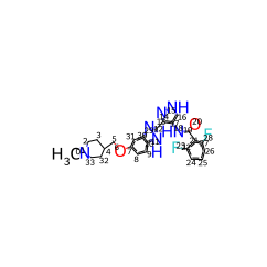 CN1CCC(COc2ccc3[nH]c(-c4n[nH]cc4NC(=O)c4c(F)cccc4F)nc3c2)CC1